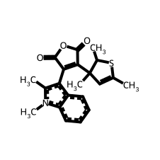 CC1=CC(C)(C2=C(c3c(C)n(C)c4ccccc34)C(=O)OC2=O)C(C)S1